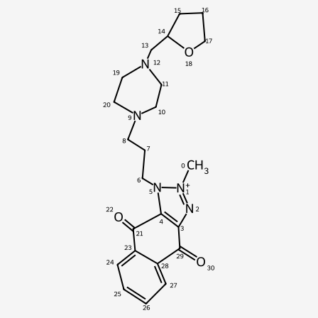 C[n+]1nc2c(n1CCCN1CCN(CC3CCCO3)CC1)C(=O)c1ccccc1C2=O